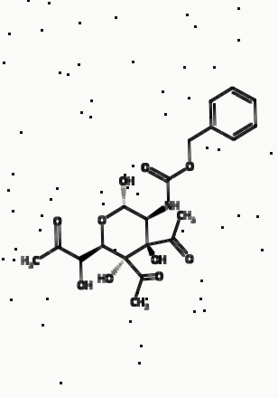 CC(=O)C(O)[C@H]1O[C@H](O)[C@@H](NC(=O)OCc2ccccc2)[C@](O)(C(C)=O)[C@@]1(O)C(C)=O